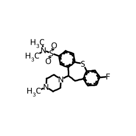 CN1CCN(C2Cc3ccc(F)cc3Sc3ccc(S(=O)(=O)N(C)C)cc32)CC1